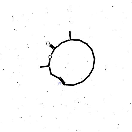 CC1CCCCCCCC/C=C/CC(C)OC(=O)C1